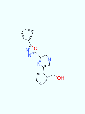 OCc1ccccc1-c1cncc(-c2nnc(-c3ccccc3)o2)n1